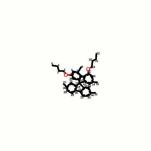 CCCCOc1cc(C)cc(C2(c3cc(C)cc(OCCCC)c3)c3cc(C)ccc3-c3ccc(C)cc32)c1